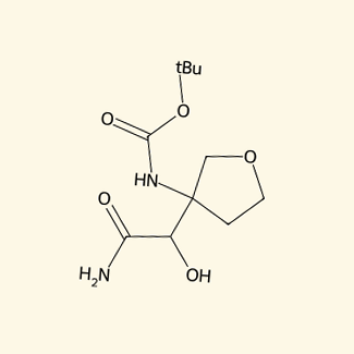 CC(C)(C)OC(=O)NC1(C(O)C(N)=O)CCOC1